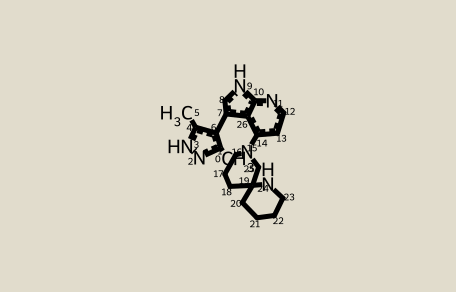 Cc1n[nH]c(C)c1-c1c[nH]c2nccc(N3CCCC4(CCCCN4)C3)c12